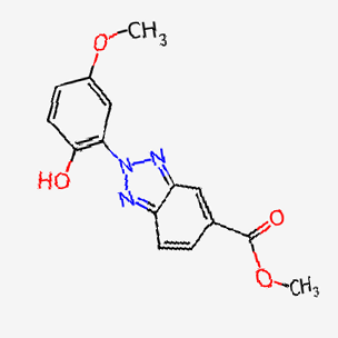 COC(=O)c1ccc2nn(-c3cc(OC)ccc3O)nc2c1